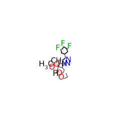 CC1(C)OC[C@H]2O[C@@]3(CCCO3)C[C@H](n3cc(-c4cc(F)c(F)c(F)c4)nn3)[C@H]2O1